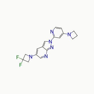 FC1(F)CN(c2cnc3nn(-c4cc(N5CCC5)ccn4)cc3c2)C1